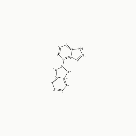 [c]1n[nH]c2cccc(C3Oc4ccccc4O3)c12